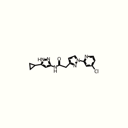 O=C(Cc1ccn(-c2cc(Cl)ccn2)n1)Nc1cc(C2CC2)[nH]n1